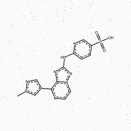 Cn1cc(-c2nccn3nc(Nc4ccc(S(=O)(=O)O)cn4)nc23)cn1